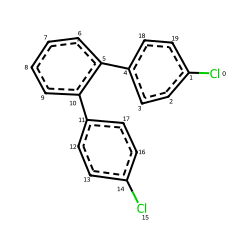 Clc1ccc(-c2[c]cccc2-c2ccc(Cl)cc2)cc1